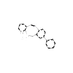 CC(=O)N1Cc2cc(-c3ccccc3)ccc2/C=C\c2cccnc21